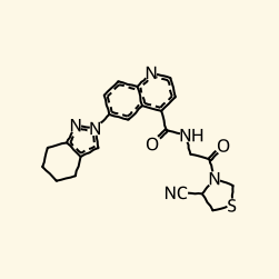 N#CC1CSCN1C(=O)CNC(=O)c1ccnc2ccc(-n3cc4c(n3)CCCC4)cc12